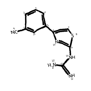 N#Cc1cccc(-c2csc(NC(=N)N)n2)c1